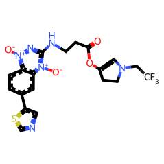 O=C(CCNc1n[n+]([O-])c2ccc(-c3cncs3)cc2[n+]1[O-])OC1=CN(CC(F)(F)F)CC1